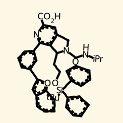 CC(C)NC(=O)N1Cc2cc(C(=O)O)nc(-c3cccc(-c4cc5ccccc5o4)c3)c2C1CCO[Si](c1ccccc1)(c1ccccc1)C(C)(C)C